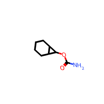 NC(=O)OC1C2CCCCC21